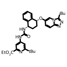 CCOC(=O)c1cc(NC(=O)N[C@H]2CC[C@@H](Oc3ccc4nnc(C(C)CC)n4c3)c3ccccc32)cc(C(C)(C)C)n1